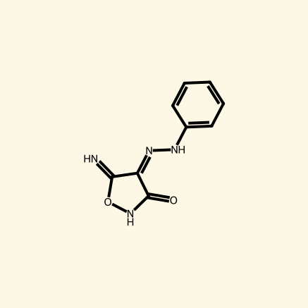 N=C1ONC(=O)/C1=N\Nc1ccccc1